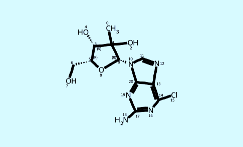 CC1(O)[C@@H](O)[C@@H](CO)O[C@H]1n1cnc2c(Cl)nc(N)nc21